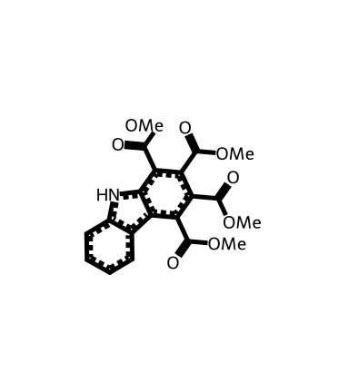 COC(=O)c1c(C(=O)OC)c(C(=O)OC)c2c([nH]c3ccccc32)c1C(=O)OC